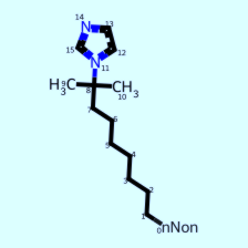 CCCCCCCCCCCCCCCCC(C)(C)n1ccnc1